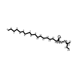 CCCCCCCCCCCCCCCCCC(=O)NN=C(C)CC